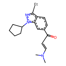 CCc1nn(C2CCCC2)c2cc(C(=O)C=CN(C)C)ccc12